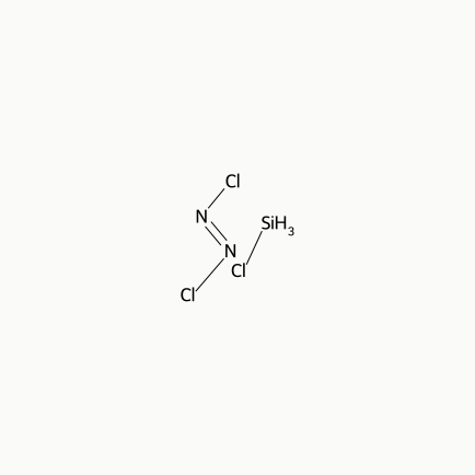 ClN=NCl.[SiH3]Cl